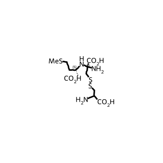 CSCC[C@H](N[C@](N)(CSSCC(N)C(=O)O)C(=O)O)C(=O)O